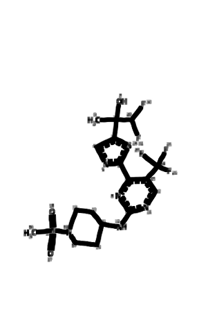 CC(O)(c1cnc(-c2nc(NC3CCN(S(C)(=O)=O)CC3)ncc2C(F)(F)F)s1)C(F)F